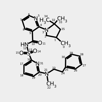 CC1CN(c2ncccc2C(=O)NS(=O)(=O)c2cccc(N(C)CCc3ccccc3)n2)C(C)(C)C1